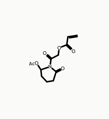 C=CC(=O)OCC(=O)N1C(=O)CCCC1OC(C)=O